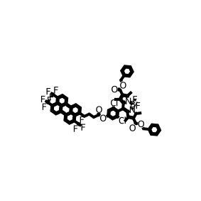 CC1=C(C(=O)OCc2ccccc2)C(C)N2C1=C(c1c(Cl)cc(OC(=O)CCCc3ccc4c5ccc(C(F)(F)F)c6c(C(F)(F)F)ccc(c7ccc(C(F)(F)F)c3c47)c65)cc1Cl)c1c(C)c(C(=O)OCc3ccccc3)c(C)n1[B-]2(F)F